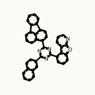 c1ccc2c(c1)-c1cccc3c(-c4nc(-c5ccc6ccccc6c5)nc(-c5cccc6oc7ncccc7c56)n4)ccc-2c13